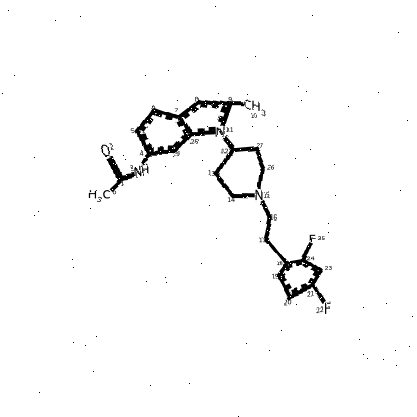 CC(=O)Nc1ccc2cc(C)n(C3CCN(CCc4ccc(F)cc4F)CC3)c2c1